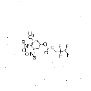 Cc1cc(OC(=O)OCC(F)(F)C(F)F)cc([N+](=O)[O-])c1[N+](=O)[O-]